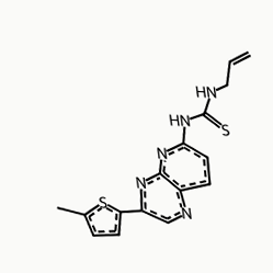 C=CCNC(=S)Nc1ccc2ncc(-c3ccc(C)s3)nc2n1